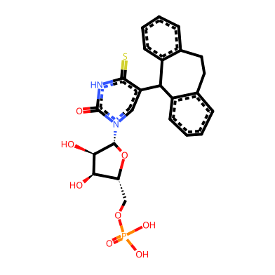 O=c1[nH]c(=S)c(C2c3ccccc3CCc3ccccc32)cn1[C@@H]1O[C@H](COP(=O)(O)O)[C@@H](O)[C@H]1O